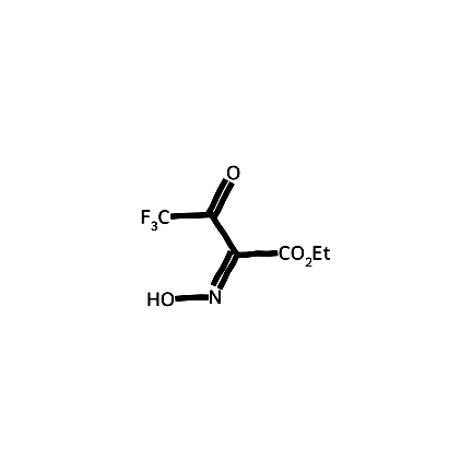 CCOC(=O)C(=NO)C(=O)C(F)(F)F